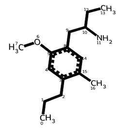 CCCc1cc(OC)c(CC(N)CC)cc1C